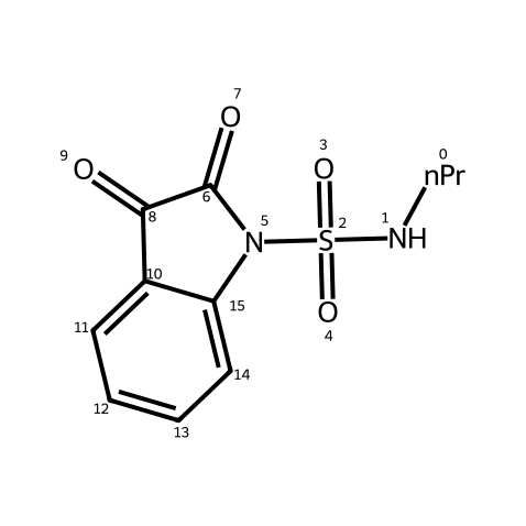 CCCNS(=O)(=O)N1C(=O)C(=O)c2ccccc21